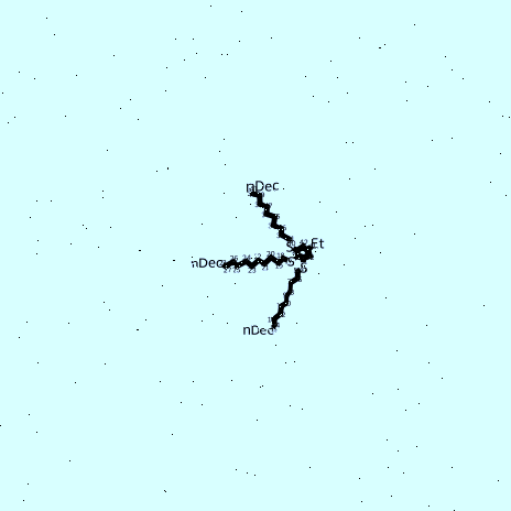 [CH2]Cc1cc(SCCCCCCCCCCCCCCCCCCCC)c(SCCCCCCCCCCCCCCCCCCCC)c(SCCCCCCCCCCCCCCCCCCCC)c1